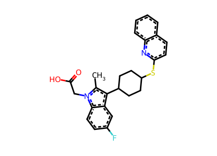 Cc1c(C2CCC(Sc3ccc4ccccc4n3)CC2)c2cc(F)ccc2n1CC(=O)O